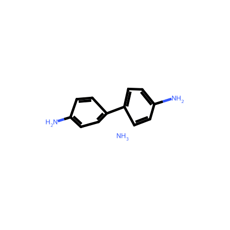 N.Nc1ccc(-c2ccc(N)cc2)cc1